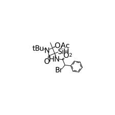 C[SiH2][C@]1(NC(=O)C(Br)c2ccccc2)C(=O)N(C(C)(C)C)[C@@]1(C)OC(C)=O